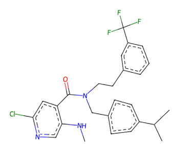 CNc1cnc(Cl)cc1C(=O)N(CCc1cccc(C(F)(F)F)c1)Cc1ccc(C(C)C)cc1